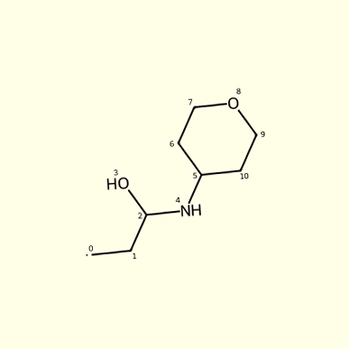 [CH2]CC(O)NC1CCOCC1